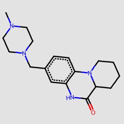 CN1CCN(Cc2ccc3c(c2)NC(=O)C2CCCCN32)CC1